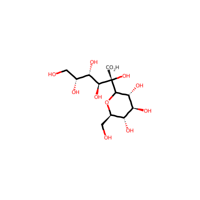 O=C(O)[C@@](O)(C1O[C@H](CO)[C@@H](O)[C@H](O)[C@H]1O)[C@@H](O)[C@@H](O)[C@H](O)CO